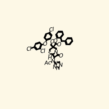 CC(=O)N(C1C(=O)N2CC(COc3cc(Cl)ccc3Oc3ccc(Cl)cc3Cl)(C(=O)OC(c3ccccc3)c3ccccc3)CS[C@H]12)n1cnnn1